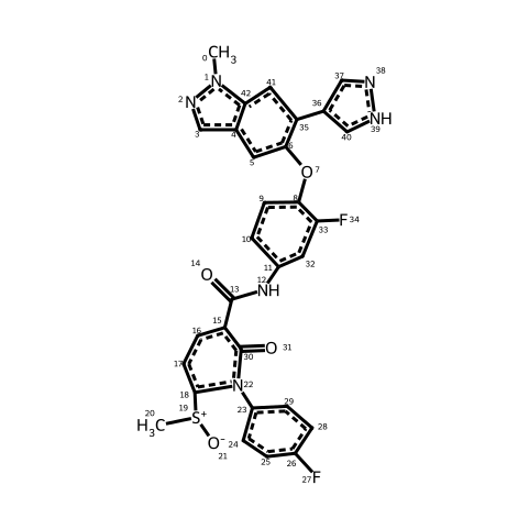 Cn1ncc2cc(Oc3ccc(NC(=O)c4ccc([S+](C)[O-])n(-c5ccc(F)cc5)c4=O)cc3F)c(-c3cn[nH]c3)cc21